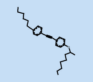 CCCCCCc1ccc(C#Cc2ccc(OC(C)CCCCCC)cc2)cc1